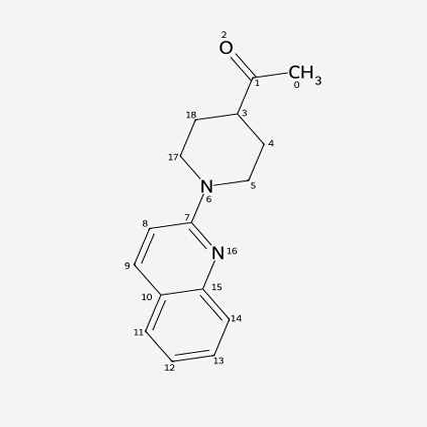 CC(=O)C1CCN(c2ccc3ccccc3n2)CC1